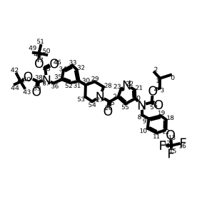 CC(C)COC(=O)N(Cc1ccc(OC(F)(F)F)cc1)c1cncc(C(=O)N2CCC(c3cccc(CN(C(=O)OC(C)(C)C)C(=O)OC(C)(C)C)c3)CC2)c1